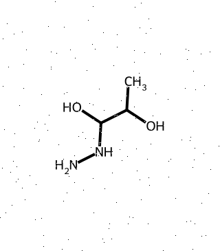 CC(O)C(O)NN